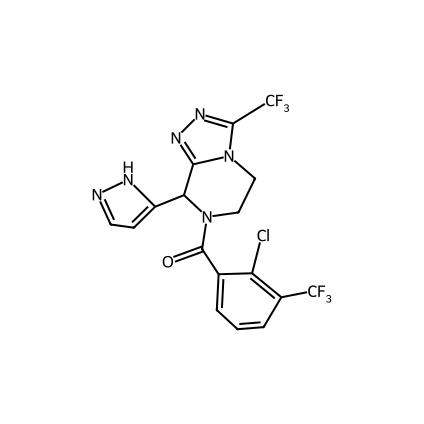 O=C(c1cccc(C(F)(F)F)c1Cl)N1CCn2c(nnc2C(F)(F)F)C1c1ccn[nH]1